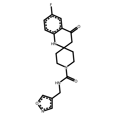 O=C1CC2(CCN(C(=O)NCc3cnoc3)CC2)Nc2ccc(F)cc21